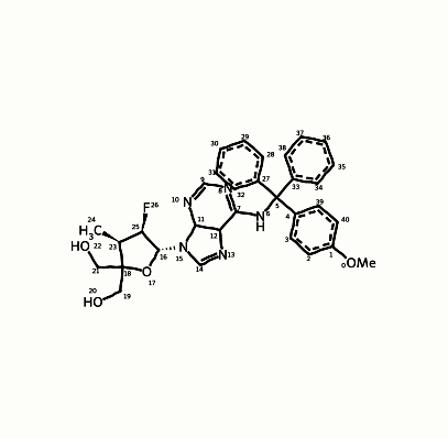 COc1ccc(C(NC2=NC=NC3C2N=CN3[C@@H]2OC(CO)(CO)[C@@H](C)[C@H]2F)(c2ccccc2)c2ccccc2)cc1